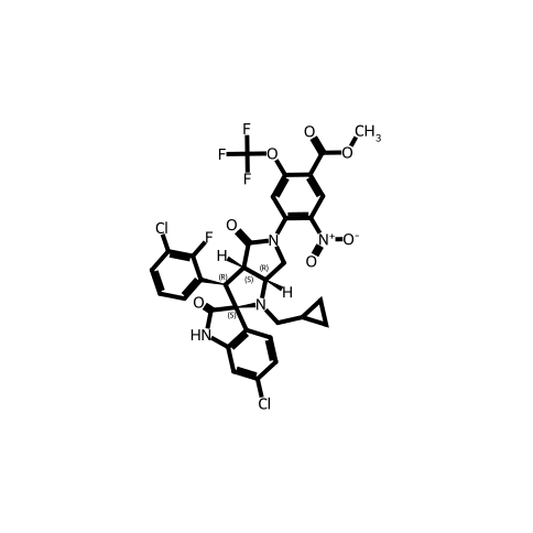 COC(=O)c1cc([N+](=O)[O-])c(N2C[C@H]3[C@@H](C2=O)[C@H](c2cccc(Cl)c2F)[C@]2(C(=O)Nc4cc(Cl)ccc42)N3CC2CC2)cc1OC(F)(F)F